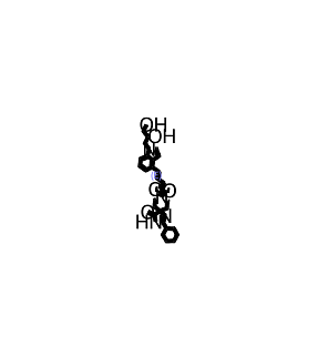 O=C1NC(C2CCCCC2)=NC12CCN(S(=O)(=O)C/C=C/c1cccc3c1ccn3CC(O)CO)CC2